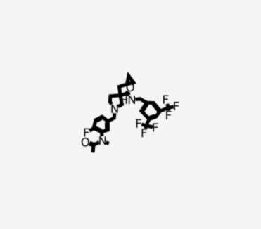 CC(=O)N(C)c1cc(CN2CCC(CC3CC3)(C(=O)NCc3cc(C(F)(F)F)cc(C(F)(F)F)c3)C2)ccc1F